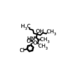 CCCCC(O)(CCCC)[C@@H](NS(=O)(=O)c1cccc(Cl)c1)[C@@H](C)CC